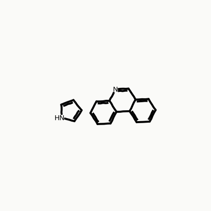 c1cc[nH]c1.c1ccc2c(c1)cnc1ccccc12